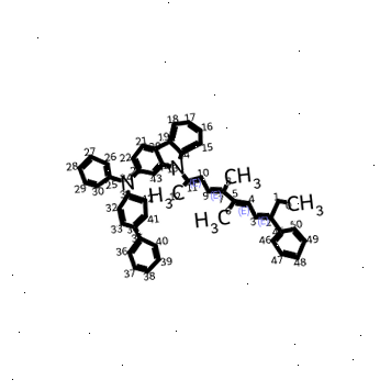 CC\C(=C/C=C(C)/C(C)=C/C=C(\C)n1c2ccccc2c2ccc(N(c3ccccc3)c3ccc(-c4ccccc4)cc3)cc21)c1ccccc1